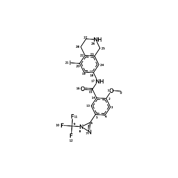 COc1ccc(C2=NN2C(F)(F)F)cc1C(=O)Nc1cc(I)c2c(c1)CNCC2